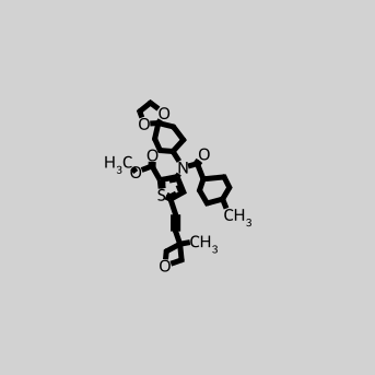 COC(=O)c1sc(C#CC2(C)COC2)cc1N(C(=O)C1CCC(C)CC1)C1CCC2(CC1)OCCO2